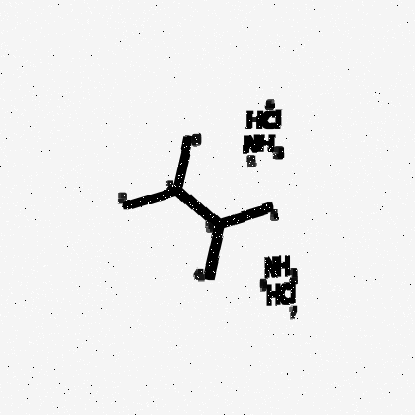 CC(C)C(C)C.Cl.Cl.N.N